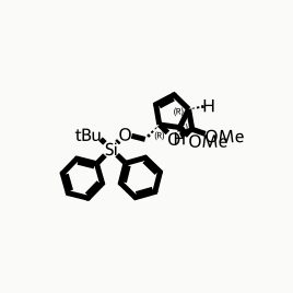 COC1O[C@@]2(CO[Si](c3ccccc3)(c3ccccc3)C(C)(C)C)C=C[C@@H]1[C@@H]2OC